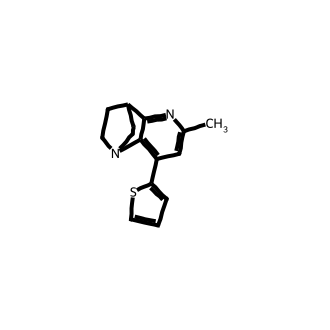 Cc1cc(-c2cccs2)c2c(n1)C1CCN2CC1